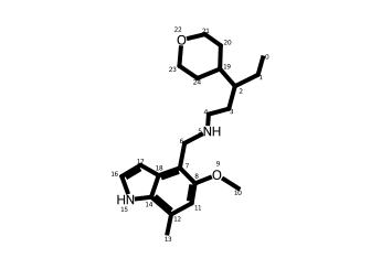 CCC(CCNCc1c(OC)cc(C)c2[nH]ccc12)C1CCOCC1